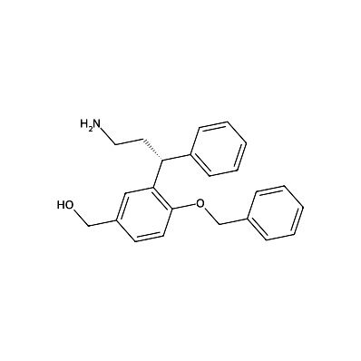 NCC[C@H](c1ccccc1)c1cc(CO)ccc1OCc1ccccc1